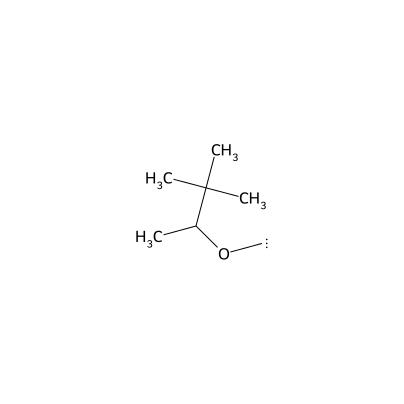 [C]OC(C)C(C)(C)C